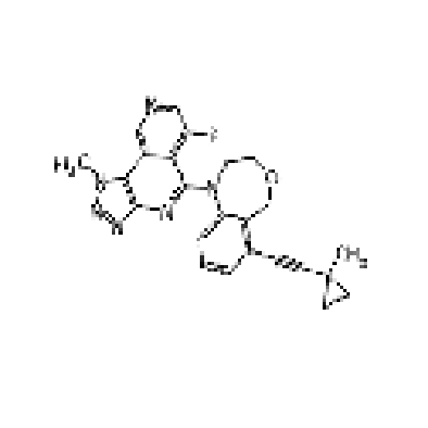 Cn1nnc2nc(N3CCOCc4c(C#CC5(C)CC5)cccc43)c3c(F)cncc3c21